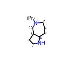 CC(C)N1CCCC2NCCC2C1